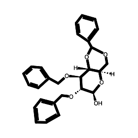 O[C@@H]1O[C@@H]2COC(c3ccccc3)O[C@H]2[C@H](OCc2ccccc2)[C@H]1OCc1ccccc1